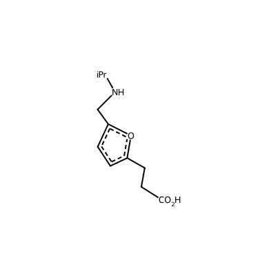 CC(C)NCc1ccc(CCC(=O)O)o1